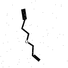 C#CCCOCC=C